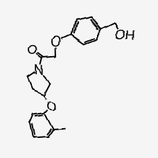 Cc1ccccc1O[C@@H]1CCN(C(=O)COc2ccc(CO)cc2)C1